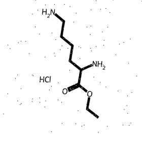 CCOC(=O)C(N)CCCCN.Cl